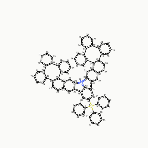 c1ccc(S(c2ccccc2)(c2ccccc2)c2cc3c4cc5ccc6c(c5cc4n4c5cc7c8c(ccc7cc5c(c2)c34)-c2ccccc2-c2ccccc2-c2ccccc2-8)-c2ccccc2-c2ccccc2-c2ccccc2-6)cc1